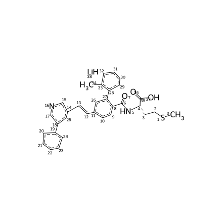 CSCC[C@H](NC(=O)c1ccc(C=Cc2cncc(-c3ccccc3)c2)cc1-c1ccccc1C)C(=O)O.[LiH]